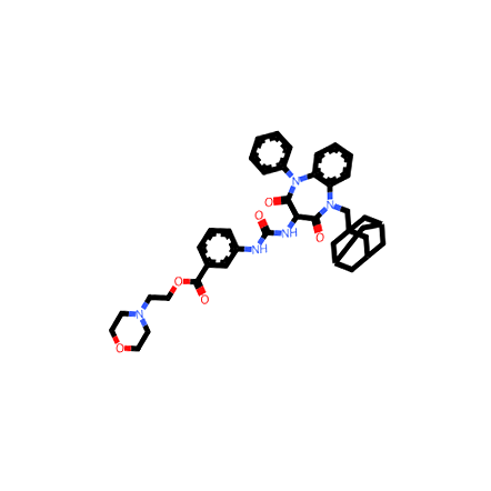 O=C(Nc1cccc(C(=O)OCCN2CCOCC2)c1)NC1C(=O)N(CC23CC4CC(CC(C4)C2)C3)c2ccccc2N(c2ccccc2)C1=O